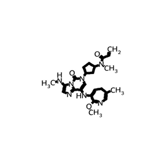 C=CC(=O)N(C)C1CCC(n2cc(NC3=CCC(C)=CN=C3OC)c3ncc(NC)n3c2=O)C1